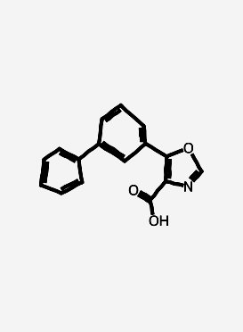 O=C(O)c1ncoc1-c1cccc(-c2ccccc2)c1